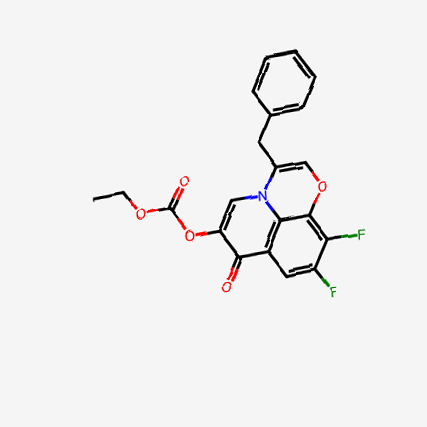 CCOC(=O)Oc1cn2c3c(c(F)c(F)cc3c1=O)OC=C2Cc1ccccc1